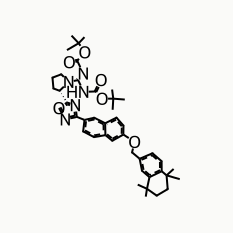 CC(C)(C)OC(=O)/N=C(/NC(=O)OC(C)(C)C)N1CCC[C@H]1c1nc(-c2ccc3cc(OCc4ccc5c(c4)C(C)(C)CCC5(C)C)ccc3c2)no1